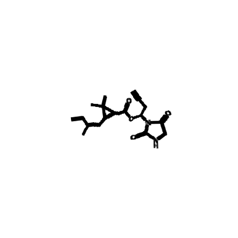 C#CCC(OC(=O)C1C(C=C(C)C=C)C1(C)C)N1C(=O)CNC1=O